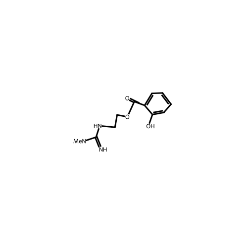 CNC(=N)NCCOC(=O)c1ccccc1O